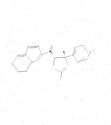 CC1=N[C@@](C)(c2ccc(Cl)cc2)[C@H](C(=O)c2ccc3ccccc3c2)O1